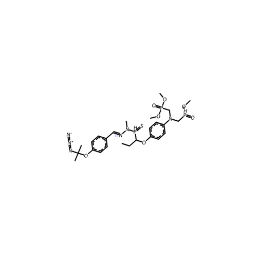 CCC(Oc1ccc(N(C[PH](=O)OC)CP(=O)(OC)OC)cc1)[PH](=S)N(C)/N=C/c1ccc(OC(C)(C)N=[N+]=[N-])cc1